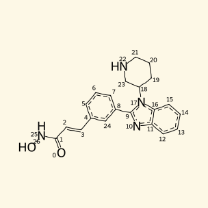 O=C(/C=C/c1cccc(-c2nc3ccccc3n2C2CCCNC2)c1)NO